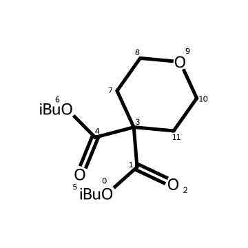 CC(C)COC(=O)C1(C(=O)OCC(C)C)CCOCC1